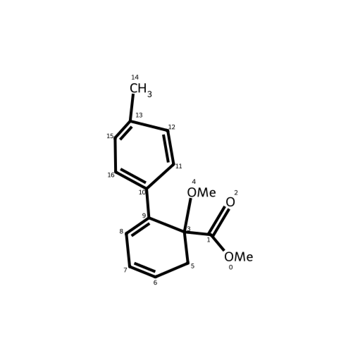 COC(=O)C1(OC)CC=CC=C1c1ccc(C)cc1